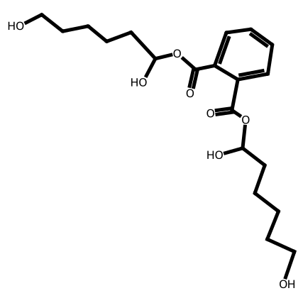 O=C(OC(O)CCCCCO)c1ccccc1C(=O)OC(O)CCCCCO